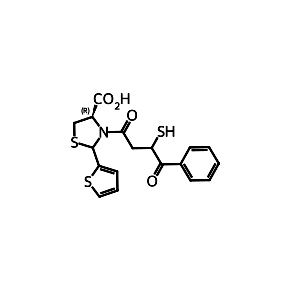 O=C(c1ccccc1)C(S)CC(=O)N1C(c2cccs2)SC[C@H]1C(=O)O